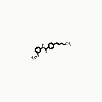 CCC/C=C/c1ccc(C(=O)Nc2cccc(OC)c2)cc1